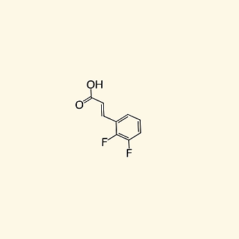 O=C(O)/C=C/c1cccc(F)c1F